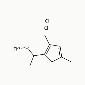 CC1=CC(C)=C(C(C)[O][Ti+2])C1.[Cl-].[Cl-]